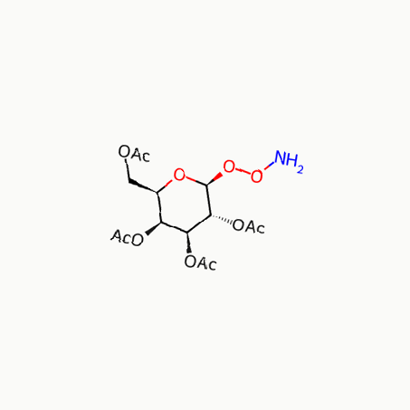 CC(=O)OC[C@H]1O[C@@H](OON)[C@H](OC(C)=O)[C@@H](OC(C)=O)[C@H]1OC(C)=O